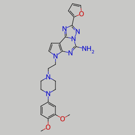 COc1ccc(N2CCN(CCn3ccc4c3nc(N)n3nc(-c5ccco5)nc43)CC2)cc1OC